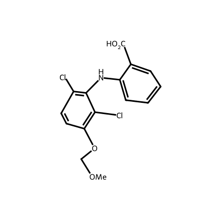 COCOc1ccc(Cl)c(Nc2ccccc2C(=O)O)c1Cl